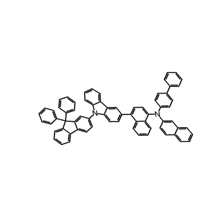 c1ccc(-c2ccc(N(c3ccc4ccccc4c3)c3ccc(-c4ccc5c(c4)c4ccccc4n5-c4ccc5c(c4)C(c4ccccc4)(c4ccccc4)c4ccccc4-5)c4ccccc34)cc2)cc1